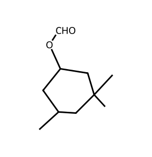 CC1CC(OC=O)CC(C)(C)C1